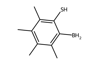 Bc1c(C)c(C)c(C)c(C)c1S